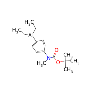 C[CH2][Al]([CH2]C)[c]1ccc(N(C)C(=O)OC(C)(C)C)cc1